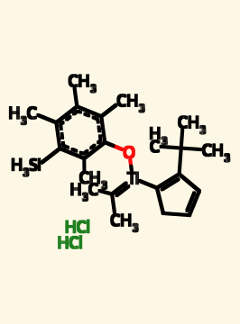 C[C](C)=[Ti]([O]c1c(C)c(C)c(C)c([SiH3])c1C)[C]1=C(C(C)(C)C)C=CC1.Cl.Cl